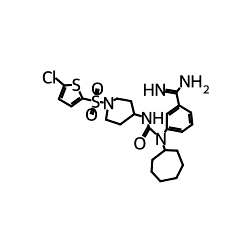 N=C(N)c1cccc(N(C(=O)NC2CCN(S(=O)(=O)c3ccc(Cl)s3)CC2)C2CCCCCC2)c1